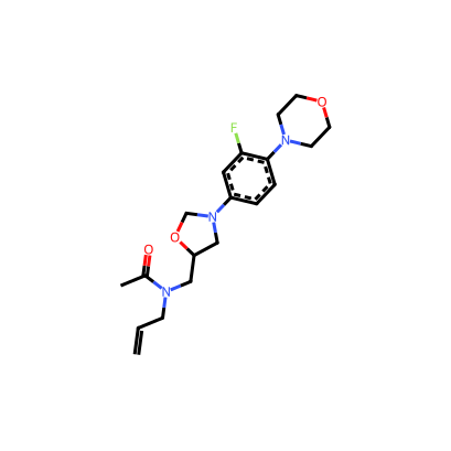 C=CCN(CC1CN(c2ccc(N3CCOCC3)c(F)c2)CO1)C(C)=O